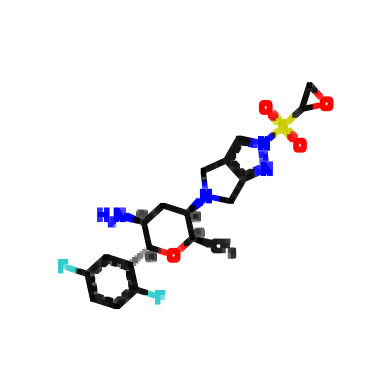 N[C@H]1C[C@@H](N2Cc3cn(S(=O)(=O)C4CO4)nc3C2)[C@@H](C(F)(F)F)O[C@@H]1c1cc(F)ccc1F